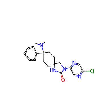 CN(C)[C@]1(c2ccccc2)CC[C@]2(CC1)CN(c1cnc(Cl)cn1)C(=O)N2